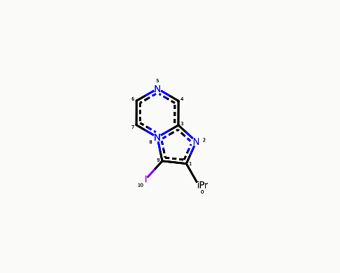 CC(C)c1nc2cnccn2c1I